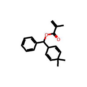 C=C(C)C(=O)OC(c1ccccc1)C1C=CC(C)(C)C=C1